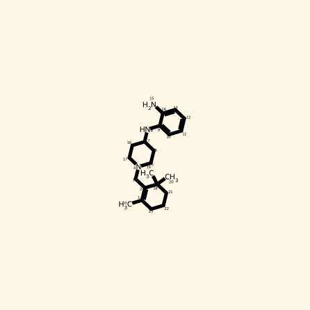 CC1=C(CN2CCC(Nc3ccccc3N)CC2)C(C)(C)CCC1